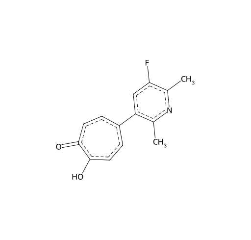 Cc1nc(C)c(-c2ccc(O)c(=O)cc2)cc1F